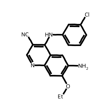 CCOc1cc2ncc(C#N)c(Nc3cccc(Cl)c3)c2cc1N